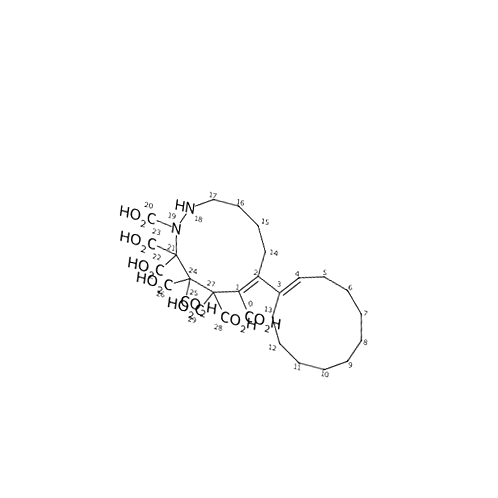 O=C(O)C1=C(C2=CCCCCCCCCC2)CCCCNN(C(=O)O)C(C(=O)O)(C(=O)O)C(C(=O)O)(C(=O)O)C1(C(=O)O)C(=O)O